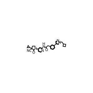 N#C[C@@]1(C2CC2)CCN(c2ccnc(NC(=O)Cc3cccc(-c4cnn(CC5CCC5)c4)c3)c2)C1=O